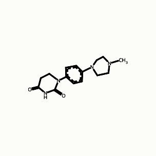 CN1CCN(c2ccc(N3CCC(=O)NC3=O)cc2)CC1